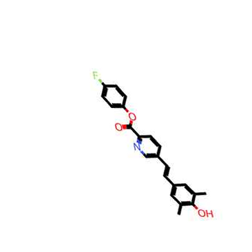 Cc1cc(/C=C/c2ccc(C(=O)Oc3ccc(F)cc3)nc2)cc(C)c1O